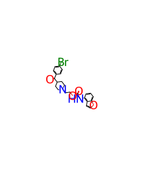 O=C(Nc1cccc2occc12)OCCN1CCC(C(=O)c2ccc(Br)cc2)CC1